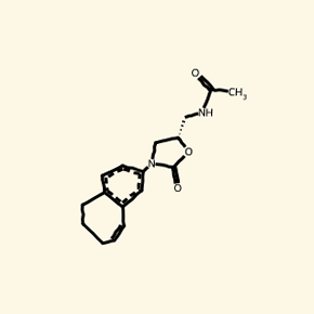 CC(=O)NC[C@H]1CN(c2ccc3c(c2)C=CCCC3)C(=O)O1